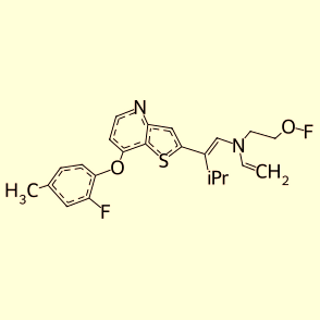 C=CN(/C=C(/c1cc2nccc(Oc3ccc(C)cc3F)c2s1)C(C)C)CCOF